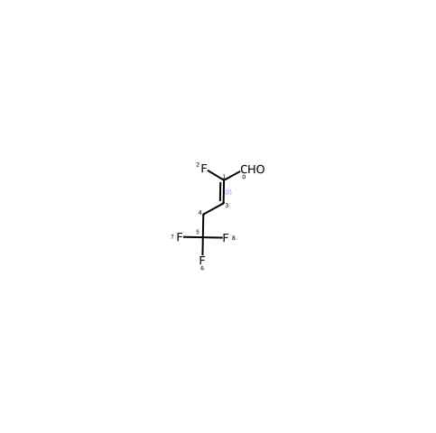 O=C/C(F)=C/CC(F)(F)F